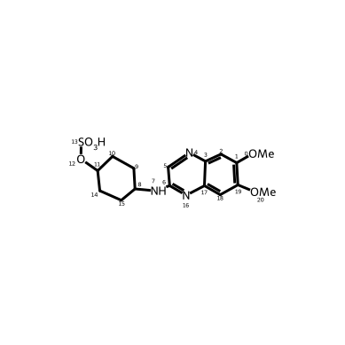 COc1cc2ncc(NC3CCC(OS(=O)(=O)O)CC3)nc2cc1OC